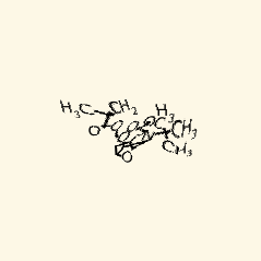 C=C(C)C(=O)OCOC1C2CC3C(O2)C1N(C(C)(C)C)S3(=O)=O